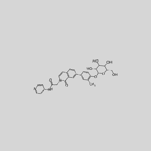 Cc1cc(-c2ccc3ccn(CC(=O)Nc4ccncc4)c(=O)c3c2)ccc1OC1OC(CO)C(O)C(O)C1O